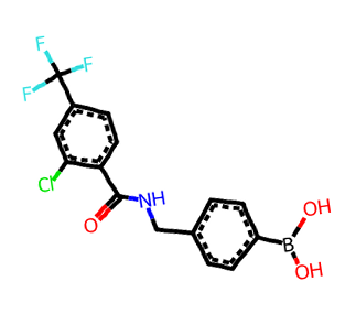 O=C(NCc1ccc(B(O)O)cc1)c1ccc(C(F)(F)F)cc1Cl